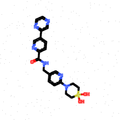 O=C(NCc1ccc(N2CCS(O)(O)CC2)nc1)c1ccc(-c2cnccn2)cn1